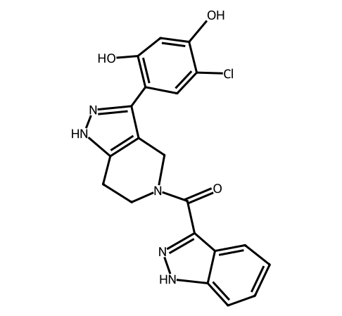 O=C(c1n[nH]c2ccccc12)N1CCc2[nH]nc(-c3cc(Cl)c(O)cc3O)c2C1